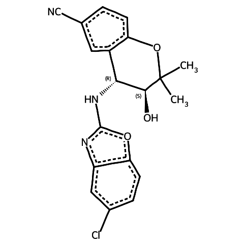 CC1(C)Oc2ccc(C#N)cc2[C@@H](Nc2nc3cc(Cl)ccc3o2)[C@@H]1O